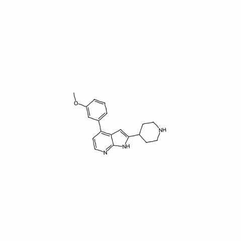 COc1cccc(-c2ccnc3[nH]c(C4CCNCC4)cc23)c1